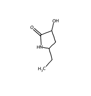 CCC1CC(O)C(=O)N1